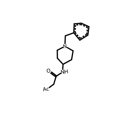 CC(=O)CC(=O)NC1CCN(Cc2ccccc2)CC1